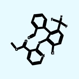 COC(=O)c1cccnc1Sc1c(Cl)ccc(C(F)(F)F)c1-c1ccccc1C=O